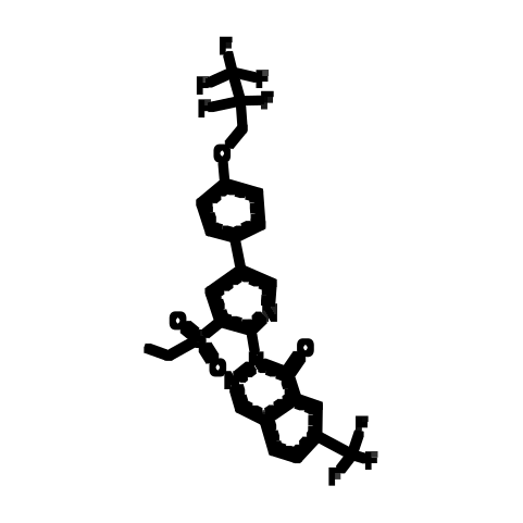 CCS(=O)(=O)c1cc(-c2ccc(OCC(F)(F)C(F)(F)F)cc2)cnc1-n1ncc2ccc(C(F)(F)F)cc2c1=O